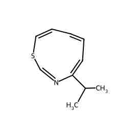 CC(C)c1cccccscn1